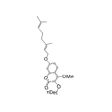 CCCCCCCCCCOc1c(OC)c2ccc(OC/C=C(\C)CCC=C(C)C)cc2oc1=O